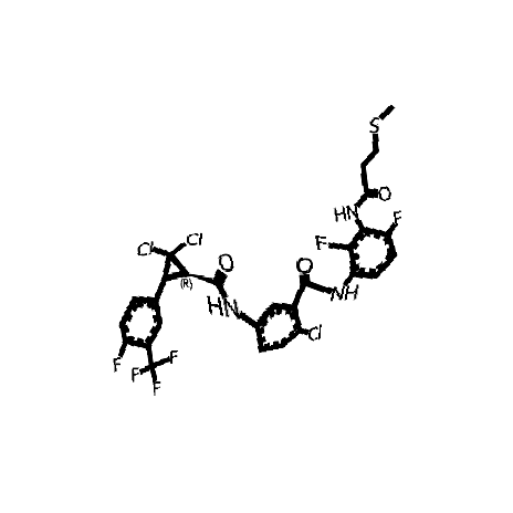 CSCCC(=O)Nc1c(F)ccc(NC(=O)c2cc(NC(=O)[C@H]3C(c4ccc(F)c(C(F)(F)F)c4)C3(Cl)Cl)ccc2Cl)c1F